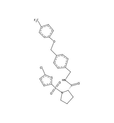 O=C(NCc1ccc(COc2ccc(C(F)(F)F)cc2)cc1)[C@@H]1CCCN1S(=O)(=O)c1ccc(Cl)s1